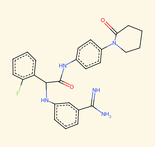 N=C(N)c1cccc(NC(C(=O)Nc2ccc(N3CCCCC3=O)cc2)c2ccccc2F)c1